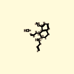 C=CCN[C@H]1CCc2cccc(OC)c2[C@@H]1CC=C.Cl